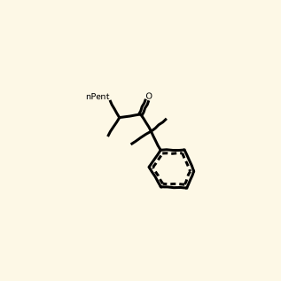 CCCCCC(C)C(=O)C(C)(C)c1ccccc1